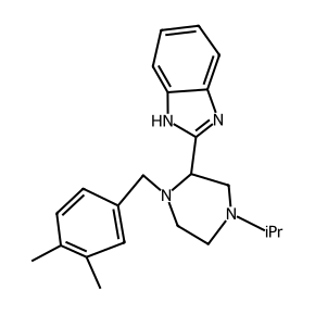 Cc1ccc(CN2CCN(C(C)C)CC2c2nc3ccccc3[nH]2)cc1C